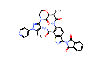 CC(=O)OC(C(=O)Nc1ccc2c(N3C(=O)c4ccccc4C3=O)nsc2c1C(N)=O)C1OCCN(c2cc(C)n(-c3ccncc3)n2)C1=O